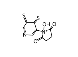 O=C1CCC(=O)[N+]1(O)C1=CN=[C]C(=S)C1=S